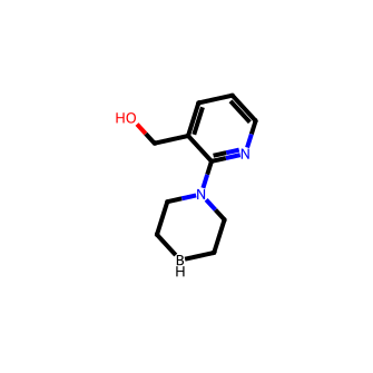 OCc1cccnc1N1CCBCC1